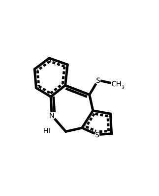 CSC1=c2ccccc2=NCc2sccc21.I